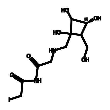 O=C(CI)NC(=O)CNCC1(O)C(O)[C@@H](O)C1CO